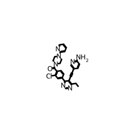 CCc1ncnc(-c2ccc(C(=O)N3CCN(c4ccccn4)CC3)c(Cl)c2)c1C#Cc1ccc(N)nc1